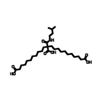 CC(C)CCNC(=O)C(CCCCCCCCCCC(=O)O)(CCCCCCCCCCC(=O)O)C(=O)O